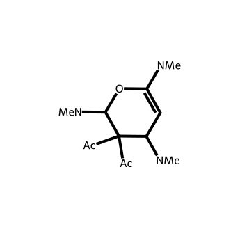 CNC1=CC(NC)C(C(C)=O)(C(C)=O)C(NC)O1